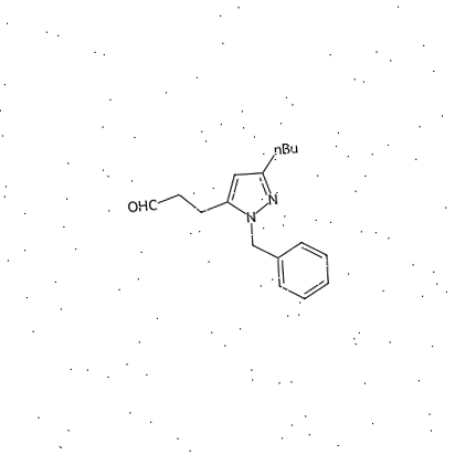 CCCCc1cc(CCC=O)n(Cc2ccccc2)n1